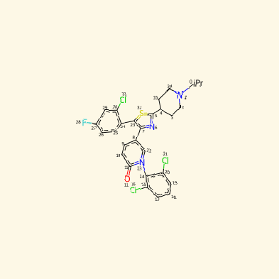 CC(C)N1CCC(c2nc(-c3ccc(=O)n(-c4c(Cl)cccc4Cl)c3)c(-c3ccc(F)cc3Cl)s2)CC1